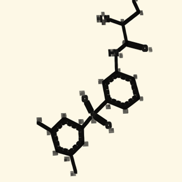 CCC(N)C(=O)Nc1cccc(S(=O)(=O)c2cc(C)cc(C)c2)c1